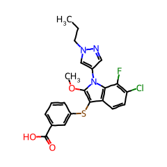 CCCn1cc(-n2c(OC)c(Sc3cccc(C(=O)O)c3)c3ccc(Cl)c(F)c32)cn1